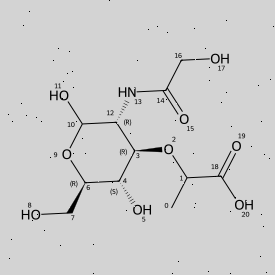 CC(O[C@H]1[C@H](O)[C@@H](CO)OC(O)[C@@H]1NC(=O)CO)C(=O)O